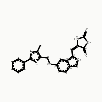 Cc1oc(-c2ccccc2)nc1COc1ccc2coc(C=C3NC(=O)SC3=O)c2c1